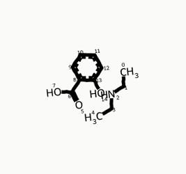 CCNCC.O=C(O)c1ccccc1O